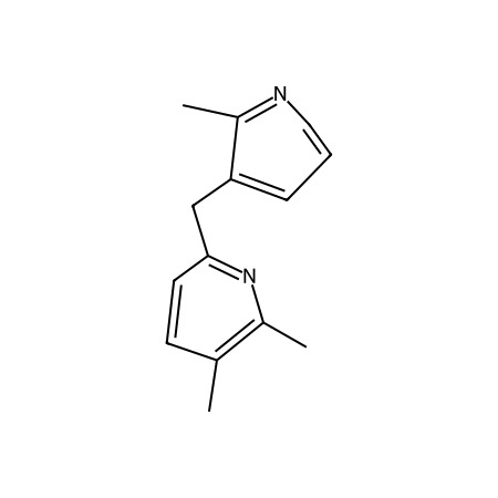 Cc1ccc(Cc2cccnc2C)nc1C